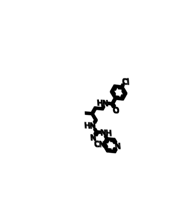 CC(CCNC(=O)c1ccc(Cl)cc1)CNC(=NC#N)Nc1cccnc1